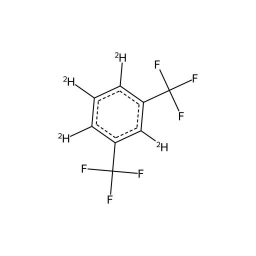 [2H]c1c([2H])c(C(F)(F)F)c([2H])c(C(F)(F)F)c1[2H]